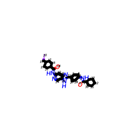 O=C(Nc1ccc(-c2nc3cc(NC(=O)C4CCC(CI)CC4)ncc3[nH]2)cc1)C1CCCCC1